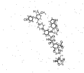 CC1(C)CCC(CN2CCN(c3ccc(C(=O)NS(=O)(=O)c4cc5c(c([N+](=O)[O-])c4)N[C@H](CN4C[C@@H]6C[C@H]4CO6)CO5)c(N4CCOc5nc6[nH]ccc6cc54)c3)CC2)=C(c2ccc(Cl)cc2)C1